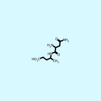 CC(CCC(=O)O)NC(=O)C(N)CC(N)=O